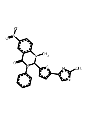 Cc1nc(-c2ccc(C3N(C)c4ccc([N+](=O)[O-])cc4C(=O)N3c3ccccc3)s2)cs1